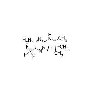 CC(Nc1cnc(C(F)(F)F)c(N)n1)C(C)(C)C